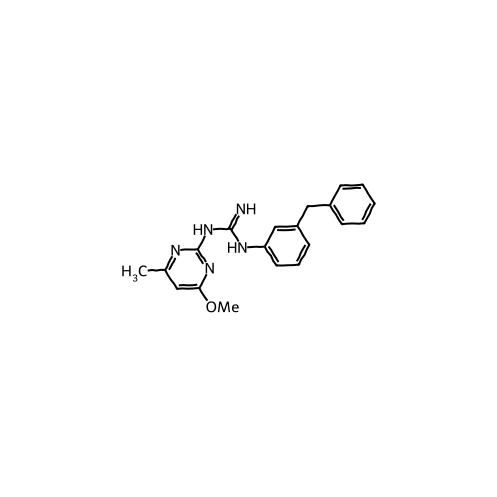 COc1cc(C)nc(NC(=N)Nc2cccc(Cc3ccccc3)c2)n1